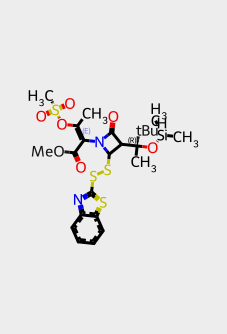 COC(=O)/C(=C(/C)OS(C)(=O)=O)N1C(=O)C([C@@](C)(O[SiH](C)C)C(C)(C)C)C1SSc1nc2ccccc2s1